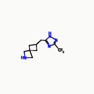 FC(F)(F)c1n[nH]c(CC2CC3(CNC3)C2)n1